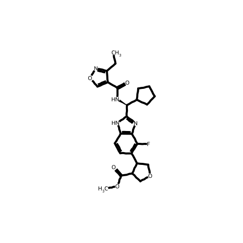 CCc1nocc1C(=O)N[C@H](c1nc2c(F)c(C3COCC3C(=O)OC)ccc2[nH]1)C1CCCC1